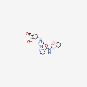 O=C=c1ccc(CN2CCN(c3ncccc3C(=O)NC(CO)Cc3ccccc3)CC2)cc1=C=O